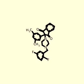 Cc1cc(C)cc(C2(N3CCN(Cc4cc(F)ccc4F)CC3)C(=O)c3ccccc3C2=O)c1